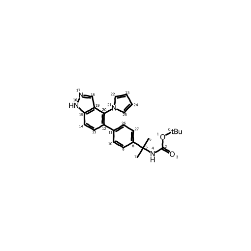 CC(C)(C)OC(=O)NC(C)(C)c1ccc(-c2ccc3[nH]ncc3c2-n2cccc2)cc1